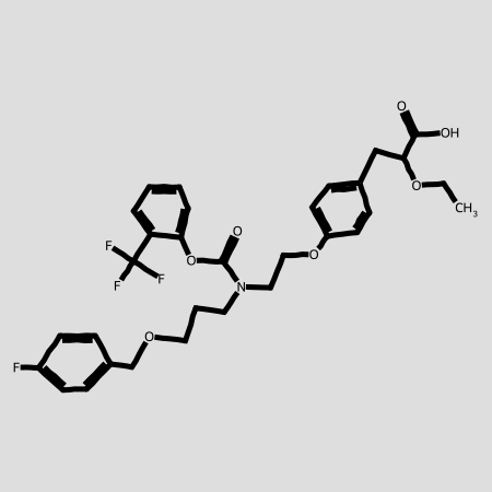 CCOC(Cc1ccc(OCCN(CCCOCc2ccc(F)cc2)C(=O)Oc2ccccc2C(F)(F)F)cc1)C(=O)O